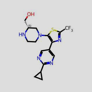 OC[C@@H]1CN(c2sc(C(F)(F)F)nc2-c2cnc(C3CC3)nc2)CCN1